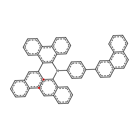 c1ccc2cc(-c3c(N(c4ccc(-c5ccc6ccc7ccccc7c6c5)cc4)c4cccc5ccccc45)c4ccccc4c4ccccc34)ccc2c1